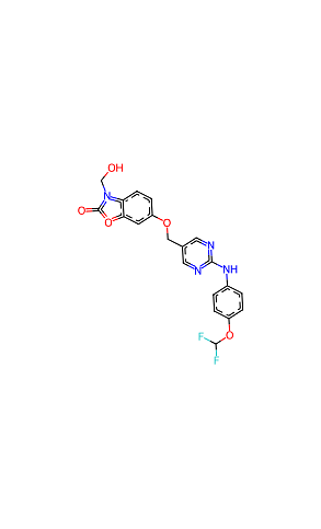 O=c1oc2cc(OCc3cnc(Nc4ccc(OC(F)F)cc4)nc3)ccc2n1CO